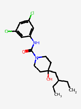 CCC(CC)CC1(O)CCN(C(=O)Nc2cc(Cl)cc(Cl)c2)CC1